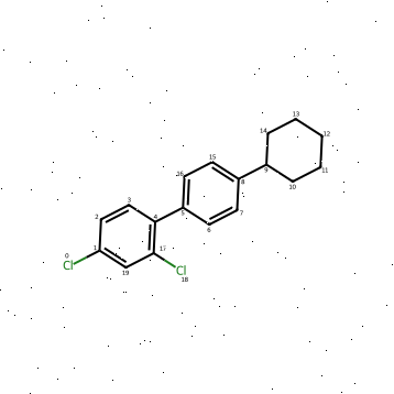 Clc1ccc(-c2ccc(C3CCCCC3)cc2)c(Cl)c1